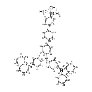 CC(C)(C)c1ccc(-c2ccc(-c3ccc(N(c4ccc(-c5cccc6ccccc56)cc4)c4ccc(-n5c6ccccc6c6ccccc65)cc4)cc3)cc2)cc1